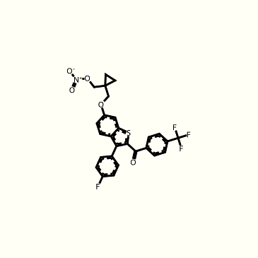 O=C(c1ccc(C(F)(F)F)cc1)c1sc2cc(OCC3(CO[N+](=O)[O-])CC3)ccc2c1-c1ccc(F)cc1